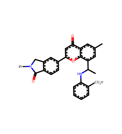 Cc1cc(C(C)Nc2ccccc2C(=O)O)c2oc(-c3ccc4c(c3)CN(C(C)C)C4=O)cc(=O)c2c1